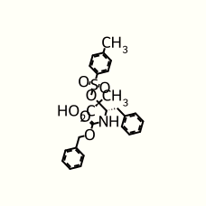 Cc1ccc(S(=O)(=O)O[C@@](C)(C(=O)O)[C@H](Cc2ccccc2)NC(=O)OCc2ccccc2)cc1